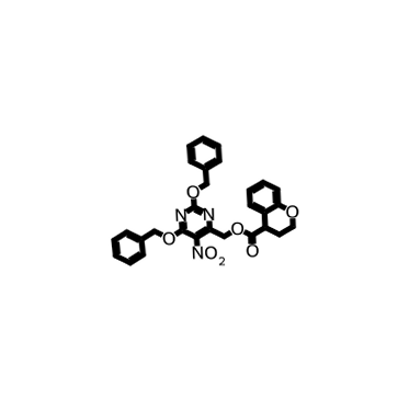 O=C(OCc1nc(OCc2ccccc2)nc(OCc2ccccc2)c1[N+](=O)[O-])C1CCOc2ccccc21